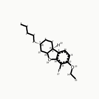 CCCCC[C@@H]1CC[C@H]2c3ccc(OCC)c(F)c3OC2C1